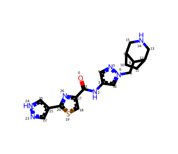 O=C(Nc1cnn(CC2C3CCC2CNC3)c1)c1csc(-c2cn[nH]c2)n1